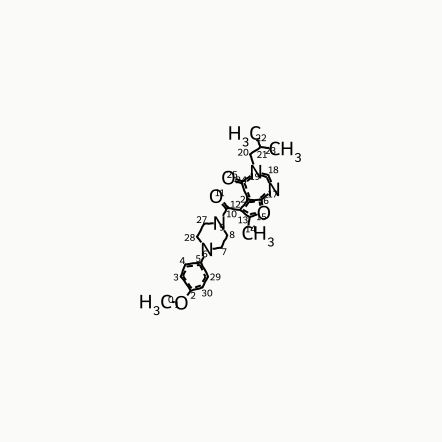 COc1ccc(N2CCN(C(=O)c3c(C)oc4ncn(CC(C)C)c(=O)c34)CC2)cc1